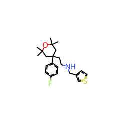 CC1(C)CC(CCNCc2ccsc2)(c2ccc(F)cc2)CC(C)(C)O1